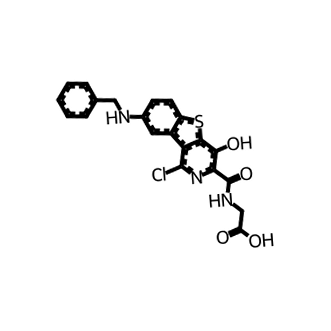 O=C(O)CNC(=O)c1nc(Cl)c2c(sc3ccc(NCc4ccccc4)cc32)c1O